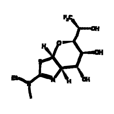 CCN(C)C1=N[C@@H]2[C@@H](O)[C@H](O)[C@@H]([C@H](O)C(F)(F)F)O[C@@H]2S1